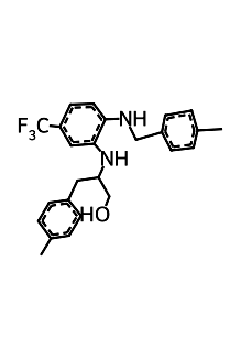 Cc1ccc(CNc2ccc(C(F)(F)F)cc2NC(CO)Cc2ccc(C)cc2)cc1